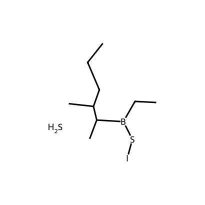 CCCC(C)C(C)B(CC)SI.S